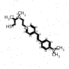 CC(CS)N(C)CC[n+]1ccc(/C=C/c2ccc(N(C)C)cc2)cc1